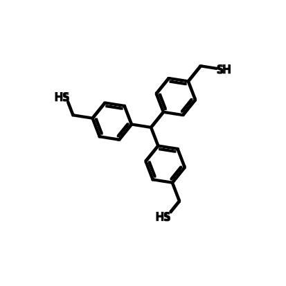 SCc1ccc(C(c2ccc(CS)cc2)c2ccc(CS)cc2)cc1